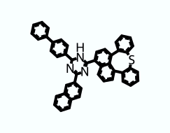 c1ccc(-c2ccc(C3N=C(c4ccc5ccccc5c4)N=C(c4ccc5c6c(cccc46)-c4ccccc4Sc4ccccc4-5)N3)cc2)cc1